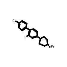 CCCC1CCC(c2ccc(-c3ccc(Cl)cc3)c(F)c2)CC1